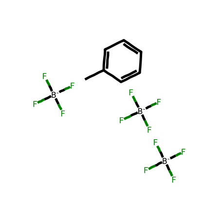 Cc1ccccc1.F[B-](F)(F)F.F[B-](F)(F)F.F[B-](F)(F)F